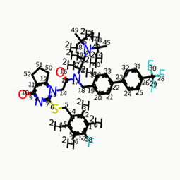 [2H]c1c([2H])c(CSc2nc(=O)c3c(n2CC(=O)N(Cc2ccc(-c4ccc(C(F)(F)F)cc4)cc2)C([2H])([2H])C([2H])([2H])N(C([2H])([2H])C)C([2H])([2H])C)CCC3)c([2H])c([2H])c1F